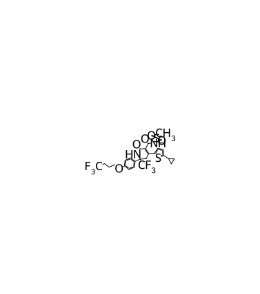 CS(=O)(=O)NC(=O)C1=C(c2ccc(C3CC3)s2)CC(c2ccc(OCCCC(F)(F)F)cc2)(C(F)(F)F)NC1=O